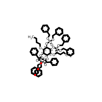 CCCCO[C@@H]1[C@@H](OP(=O)(OCc2ccccc2)OCc2ccccc2)[C@H](OP(=O)(OCc2ccccc2)OCc2ccccc2)[C@H](OCCCC)[C@H](OP(=O)(OCc2ccccc2)OCc2ccccc2)[C@H]1OP(=O)(OCc1ccccc1)OCc1ccccc1